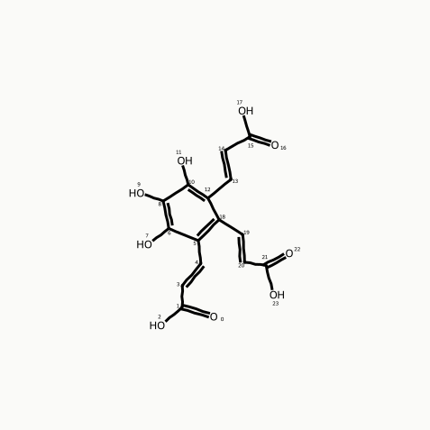 O=C(O)C=Cc1c(O)c(O)c(O)c(C=CC(=O)O)c1C=CC(=O)O